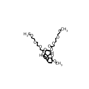 COCCOCCOCC(=O)OC1=CCC2(OC(=O)COCCOCCOC)[C@@H]3CCC[C@@]24c2c(ccc(OC)c2O[C@@H]14)C3